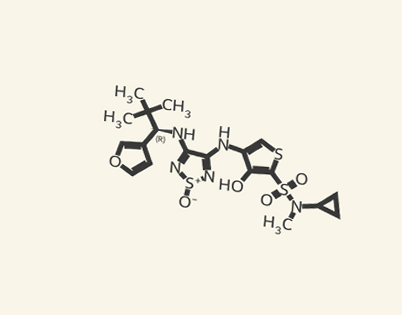 CN(C1CC1)S(=O)(=O)c1scc(Nc2n[s+]([O-])nc2N[C@@H](c2ccoc2)C(C)(C)C)c1O